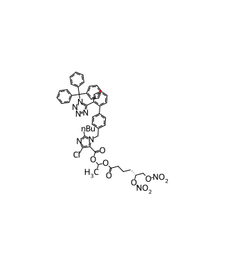 CCCCc1nc(Cl)c(C(=O)OC(C)OC(=O)CCC[C@H](CO[N+](=O)[O-])O[N+](=O)[O-])n1Cc1ccc(-c2ccccc2-c2nnnn2C(c2ccccc2)(c2ccccc2)c2ccccc2)cc1